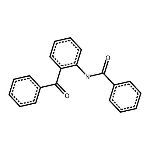 O=C([N]c1ccccc1C(=O)c1ccccc1)c1ccccc1